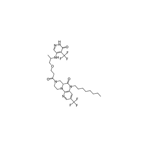 CCCCCCCCN1C(=O)C2CN(C(=O)CCOCC(C)Nc3cn[nH]c(=O)c3C(F)(F)F)CCN2c2ncc(C(F)(F)F)cc21